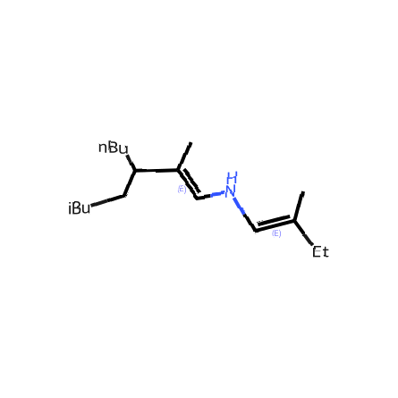 CCCCC(CC(C)CC)/C(C)=C/N/C=C(\C)CC